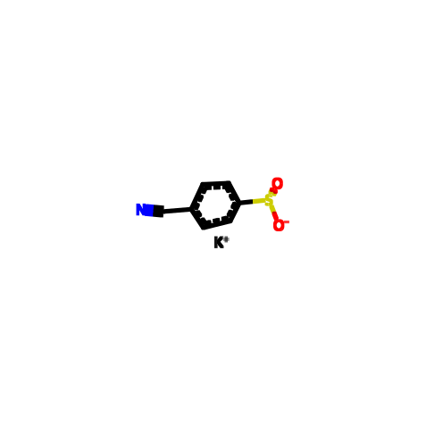 N#Cc1ccc(S(=O)[O-])cc1.[K+]